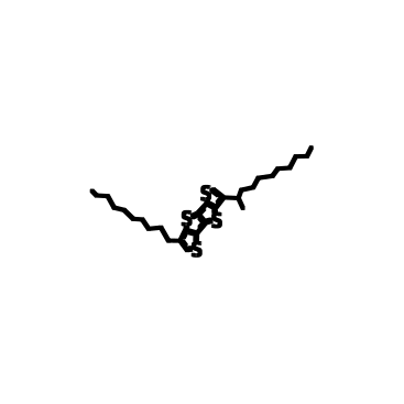 CCCCCCCCCCc1csc2c1sc1c3scc(C(C)CCCCCCCCC)c3sc21